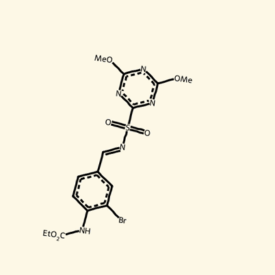 CCOC(=O)Nc1ccc(C=NS(=O)(=O)c2nc(OC)nc(OC)n2)cc1Br